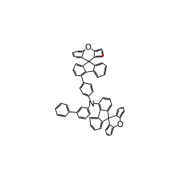 c1ccc(-c2cccc(N(c3ccc(-c4cccc5c4-c4ccccc4C54c5ccccc5Oc5ccccc54)cc3)c3cccc4c3-c3ccccc3C43c4ccccc4Oc4ccccc43)c2)cc1